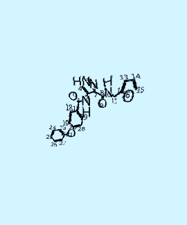 O=C(Nc1c[nH]nc1C(=O)NCc1ccco1)c1ccc(Oc2ccccc2)cc1